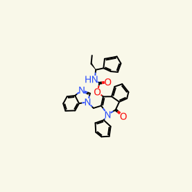 CC[C@H](NC(=O)Oc1c(Cn2cnc3ccccc32)n(-c2ccccc2)c(=O)c2ccccc12)c1ccccc1